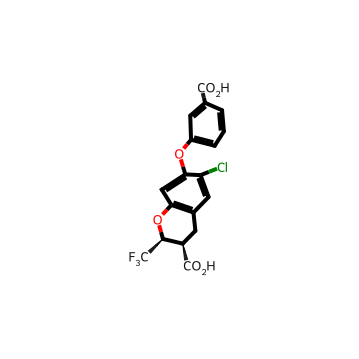 O=C(O)c1cccc(Oc2cc3c(cc2Cl)C[C@@H](C(=O)O)[C@@H](C(F)(F)F)O3)c1